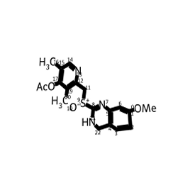 COc1ccc2c(c1)N=C([S+]([O-])Cc1ncc(C)c(OC(C)=O)c1C)NC2